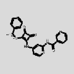 C[C@@H](Nc1c(Nc2ccnc(NC(=O)c3cccnc3)c2)c(=O)c1=O)c1ccccc1